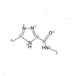 CNC(=O)c1nnc(C)[nH]1